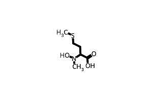 CSCCC(C(=O)O)N(C)O